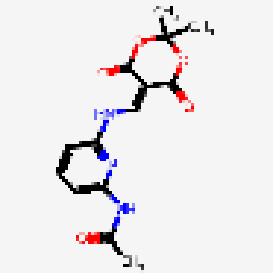 CC(=O)Nc1cccc(NC=C2C(=O)OC(C)(C)OC2=O)n1